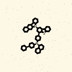 c1ccc(-c2ccc(N(c3ccc(-c4cc(-n5c6ccccc6c6cc7ccccc7cc65)cc5c4sc4ccccc45)cc3)c3cccc4ccccc34)cc2)cc1